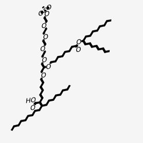 CCCCCCCCCC(CCCCCCCC)C(CCCCCCOCC(COCCOCCOCCOCCOS(C)(=O)=O)OCCCCCCCC(=O)OC(CCCCCCCC)CCCCCCCC)C(=O)O